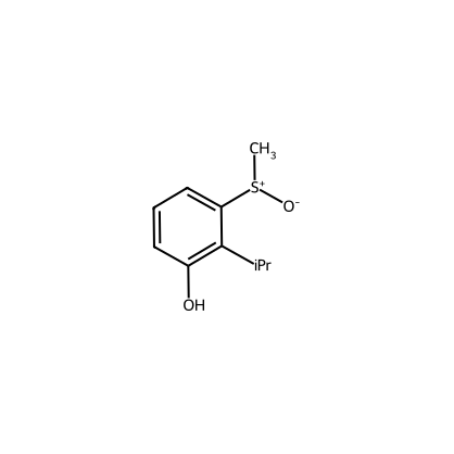 CC(C)c1c(O)cccc1[S+](C)[O-]